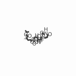 CC(C)OC(=O)[C@@H](C)CCOP1(=O)OC[C@H]2O[C@@H](n3ccc(=O)[nH]c3=O)C(F)(F)[C@@H]2O1